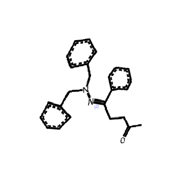 CC(=O)CC/C(=N/N(Cc1ccccc1)Cc1ccccc1)c1ccccc1